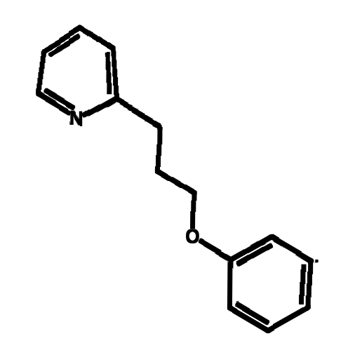 [c]1cccc(OCCCc2ccccn2)c1